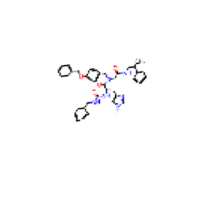 CC(CNC(=O)CN(Cc1ccc(OCc2ccccc2)cc1)C(=O)[C@H](Cc1c[nH]cn1)NC(=O)NCc1ccccc1)c1ccccc1